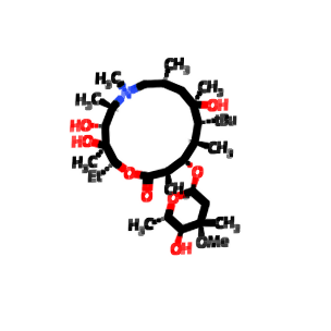 CC[C@H]1OC(=O)[C@H](C)[C@@H](O[C@H]2C[C@@](C)(OC)[C@@H](O)[C@H](C)O2)[C@H](C)[C@@H](C(C)(C)C)[C@](C)(O)C[C@@H](C)CN(C)[C@H](C)[C@@H](O)[C@]1(C)O